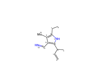 C=CC(C)c1[nH]c(CC)[c]([Mn])c1C=N